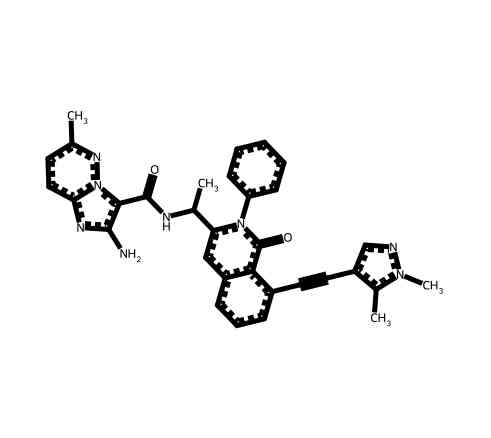 Cc1ccc2nc(N)c(C(=O)NC(C)c3cc4cccc(C#Cc5cnn(C)c5C)c4c(=O)n3-c3ccccc3)n2n1